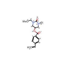 C=Cc1ccc(C(=O)OC2CN(CC)C(=O)N(COC)C2)cc1